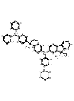 CCCCCC(CC)(c1ccc(N(c2ccccc2)c2ccccc2)cc1)c1ccc(N(c2ccc(C3CCCCC3)cc2)c2ccc3c(c2)C(C)(C)c2ccccc2-3)cc1